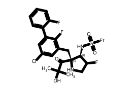 CCS(=O)(=O)N[C@H]1C(F)CN[C@]1(Cc1cc(Cl)cc(-c2ccccc2F)c1F)C(=O)C(C)(C)O